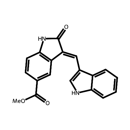 COC(=O)c1ccc2c(c1)/C(=C\c1c[nH]c3ccccc13)C(=O)N2